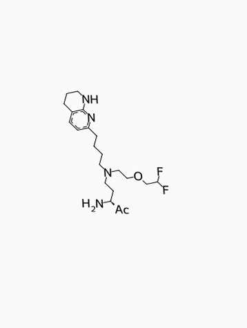 CC(=O)[C@@H](N)CCN(CCCCc1ccc2c(n1)NCCC2)CCOCC(F)F